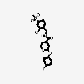 CS(=O)(=O)c1ccc(CNC(=O)c2ccnc(Oc3ccc(F)cc3)c2)c(Cl)c1